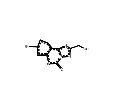 CCc1ccc2c(c1)[nH]c(=O)n1nc(CO)nc21